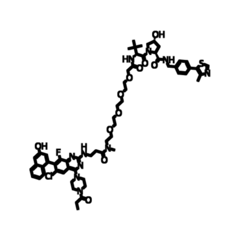 CCC(=O)N1CCN(c2nc(NCCC(=O)N(C)CCOCCOCCOCCOCC(=O)N[C@H](C(=O)N3C[C@H](O)C[C@H]3C(=O)NCc3ccc(-c4scnc4C)cc3)C(C)(C)C)nc3c(F)c(-c4cc(O)cc5ccccc45)c(Cl)cc23)CC1